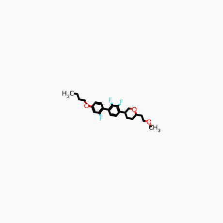 CCCCOc1ccc(-c2ccc(C3CCC(CCOC)OC3)c(F)c2F)c(F)c1